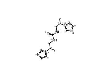 CC(CNC(=O)NCC(C)n1ccnc1)n1ccnc1